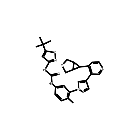 Cc1ccc(NC(=O)Nc2cc(C(C)(C)C)on2)cc1-n1cc(-c2cnccc2C2C3COCC32)cn1